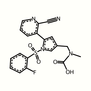 CN(Cc1cc(-c2cccnc2C#N)n(S(=O)(=O)c2ccccc2F)c1)C(=O)O